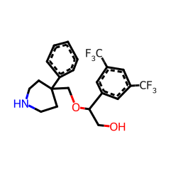 OCC(OCC1(c2ccccc2)CCNCC1)c1cc(C(F)(F)F)cc(C(F)(F)F)c1